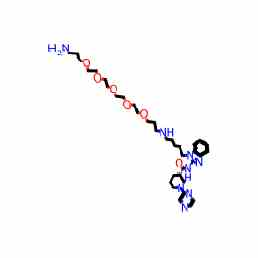 NCCCOCCOCCOCCOCCOCCCNCCCCCn1c(NC(=O)[C@H]2CCCN(c3cnccn3)C2)nc2ccccc21